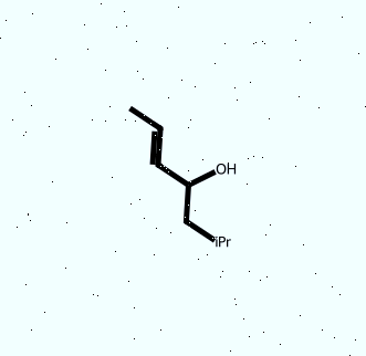 CC=CC(O)CC(C)C